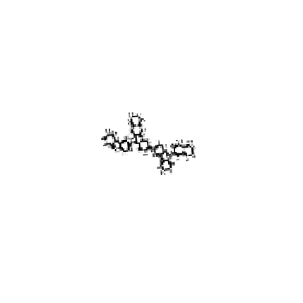 c1ccc2cc(-n3c4ccccc4c4cc(-c5ccc6c(c5)c5cc7ccccc7cc5n6-c5ccc6sc7ccccc7c6c5)ccc43)ccc2c1